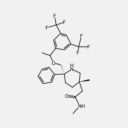 CNC(=O)C[C@]1(C)CC[C@@](COC(C)c2cc(C(F)(F)F)cc(C(F)(F)F)c2)(c2ccccc2)NC1